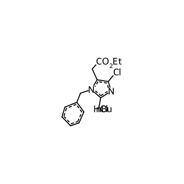 CCCCc1nc(Cl)c(CC(=O)OCC)n1Cc1ccccc1.Cl